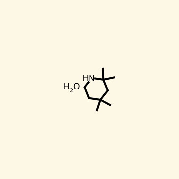 CC1(C)CCNC(C)(C)C1.O